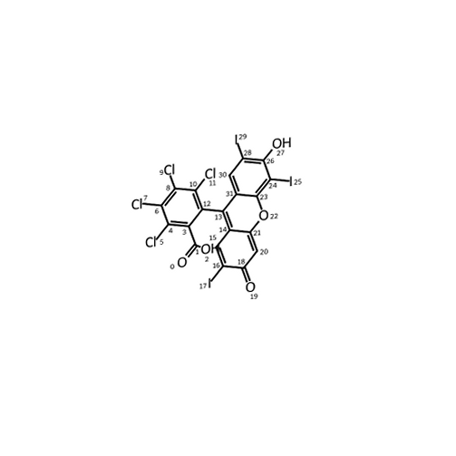 O=C(O)c1c(Cl)c(Cl)c(Cl)c(Cl)c1-c1c2cc(I)c(=O)cc-2oc2c(I)c(O)c(I)cc12